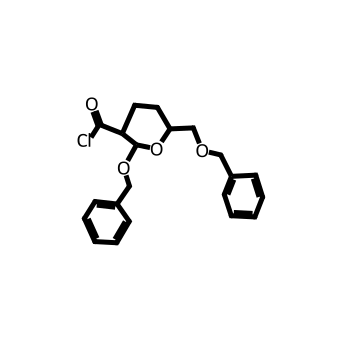 O=C(Cl)C1CCC(COCc2ccccc2)OC1OCc1ccccc1